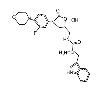 Cl.N[C@@H](Cc1c[nH]c2ccccc12)C(=O)NCC1CN(c2ccc(N3CCOCC3)c(F)c2)C(=O)O1